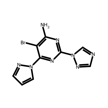 Nc1nc(-n2cncn2)nc(-n2cccn2)c1Br